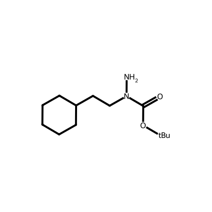 CC(C)(C)OC(=O)N(N)CCC1CCCCC1